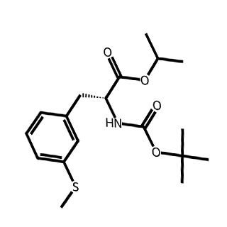 CSc1cccc(C[C@@H](NC(=O)OC(C)(C)C)C(=O)OC(C)C)c1